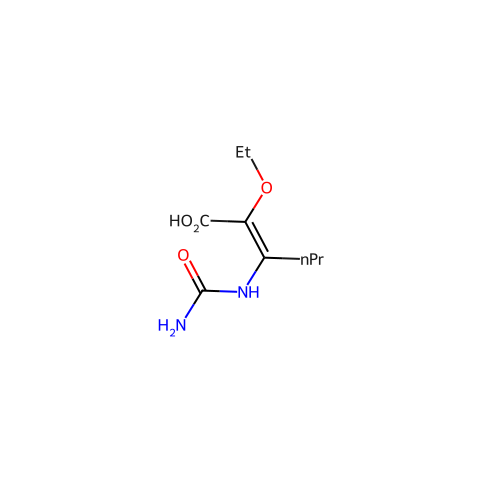 CCCC(NC(N)=O)=C(OCC)C(=O)O